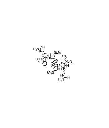 C=C(C(=O)[C@H](CCSC)NC(=O)[C@H](CCCNC(=N)N)NC(=O)C(c1ccccc1)[N+](=O)[O-])S(=O)(=O)C(=C)C(=O)[C@H](CCSC)NC(=O)[C@H](CCCNC(=N)N)NC(=O)C(c1ccccc1)[N+](=O)[O-]